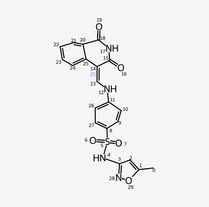 Cc1cc(NS(=O)(=O)c2ccc(N/C=C3\C(=O)NC(=O)c4ccccc43)cc2)no1